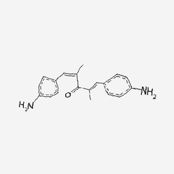 CC(=Cc1ccc(N)cc1)C(=O)C(C)=Cc1ccc(N)cc1